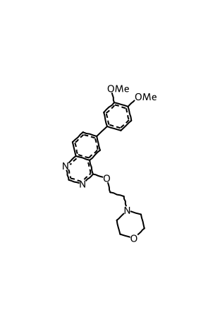 COc1ccc(-c2ccc3ncnc(OCCN4CCOCC4)c3c2)cc1OC